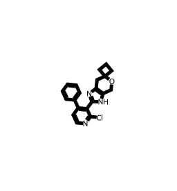 Clc1nccc(-c2ccccc2)c1-c1nc2c([nH]1)COC1(CCC1)C2